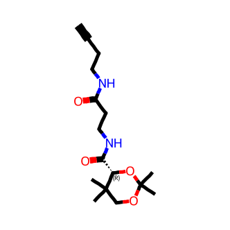 C#CCCNC(=O)CCNC(=O)[C@@H]1OC(C)(C)OCC1(C)C